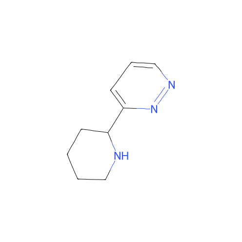 c1cnnc(C2CCCCN2)c1